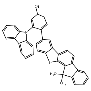 CC1(C)c2ccccc2-c2ccc3c(sc4ccc(C5=CCC(C#N)C=C5n5c6ccccc6c6ccccc65)cc43)c21